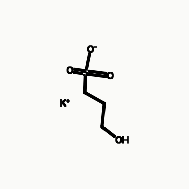 O=S(=O)([O-])CCCO.[K+]